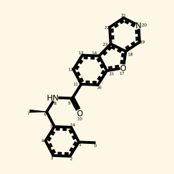 Cc1cccc([C@@H](C)NC(=O)c2ccc3c(c2)oc2cnccc23)c1